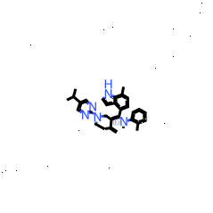 C=C1CCN(c2ncc(C(C)C)cn2)C/C1=C(\c1ccc(C)c2[nH]ccc12)N(C)c1ccccc1C